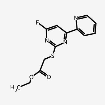 CCOC(=O)CSc1nc(F)cc(-c2ccccn2)n1